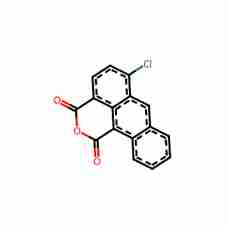 O=C1OC(=O)c2c3ccccc3cc3c(Cl)ccc1c23